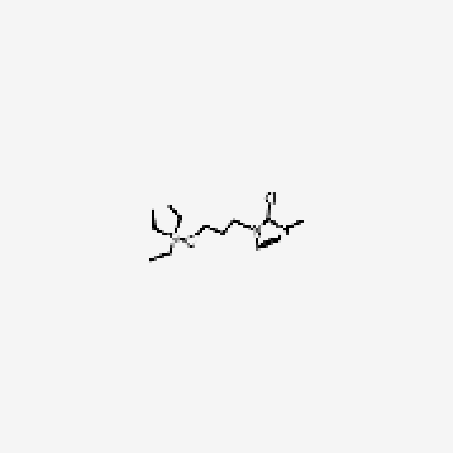 CC[Si](CC)(CC)OCCCN1C=CN(C)C1Cl